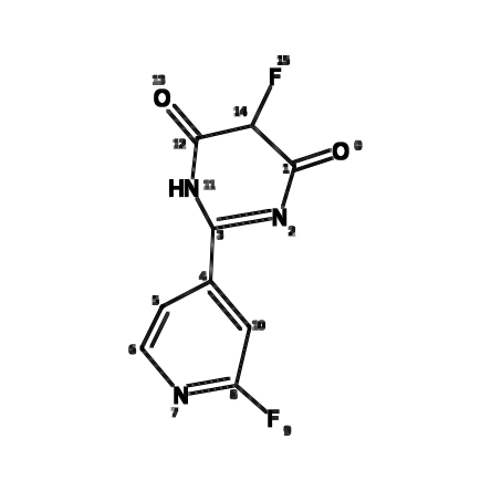 O=C1N=C(c2ccnc(F)c2)NC(=O)C1F